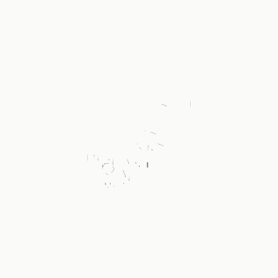 CCC(C)C(C)C(=O)OCOC(=O)C1=CCS[C@H]2C(NC(=O)C(=NOC)c3csc(N)n3)C(=O)N12